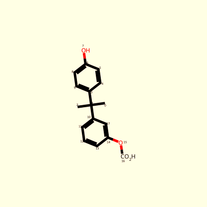 CC(C)(c1ccc(O)cc1)c1cccc(OC(=O)O)c1